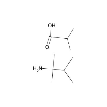 CC(C)C(=O)O.CC(C)C(C)(C)N